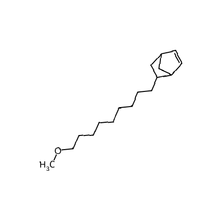 COCCCCCCCCCC1CC2C=CC1C2